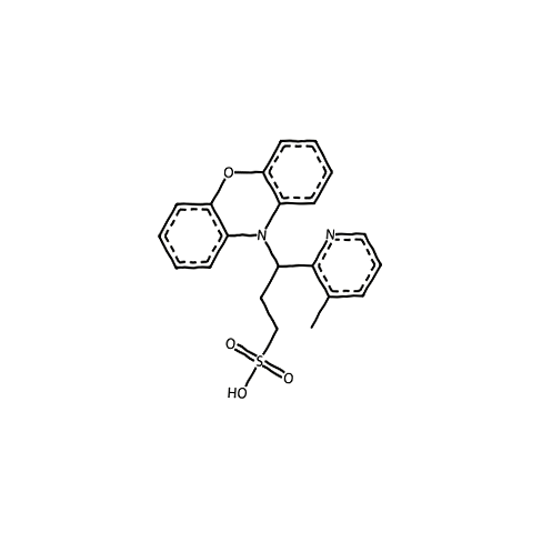 Cc1cccnc1C(CCS(=O)(=O)O)N1c2ccccc2Oc2ccccc21